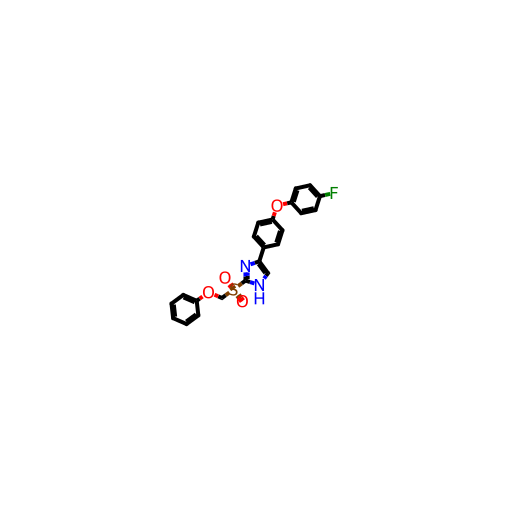 O=S(=O)(COc1ccccc1)c1nc(-c2ccc(Oc3ccc(F)cc3)cc2)c[nH]1